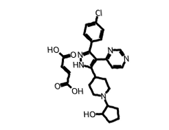 O=C(O)C=CC(=O)O.OC1CCCC1N1CCC(c2[nH]nc(-c3ccc(Cl)cc3)c2-c2ccncn2)CC1